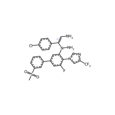 CS(=O)(=O)c1cccc(-c2cc(F)c(-n3cnc(C(F)(F)F)c3)c(N(N)/C(=C\N)c3ccc(Cl)cc3)c2)c1